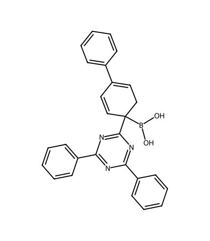 OB(O)C1(c2nc(-c3ccccc3)nc(-c3ccccc3)n2)C=CC(c2ccccc2)=CC1